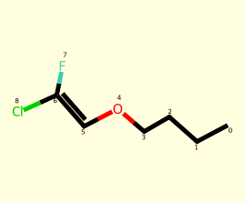 CCCCO/C=C(\F)Cl